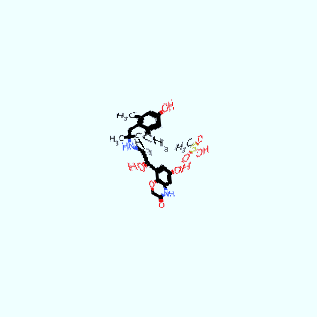 CS(=O)(=O)O.Cc1cc(O)cc(C)c1CC(C)(C)NCC(O)c1cc(O)cc2c1OCC(=O)N2